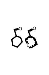 O=CC1CCCCC1.O=Cc1ccccc1